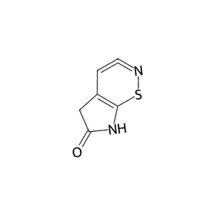 O=C1CC2=C(N1)SN=C=C2